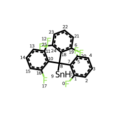 Fc1cccc(F)c1[C]([SnH])(c1c(F)cccc1F)c1c(F)cccc1F